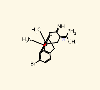 C/C(P)=C1\CC2(CCC1=N)Cc1ccc(Br)cc1C21N=C(N)N(C)C1=O